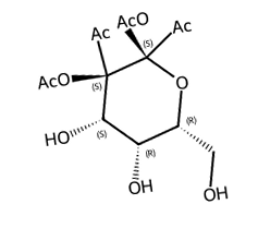 CC(=O)O[C@@]1(C(C)=O)O[C@H](CO)[C@H](O)[C@H](O)[C@]1(OC(C)=O)C(C)=O